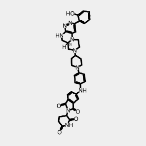 O=C1CCC(N2C(=O)c3ccc(Nc4ccc(N5CCC(N6CCN7c8cc(-c9ccccc9O)nnc8NC[C@H]7C6)CC5)cc4)cc3C2=O)C(=O)N1